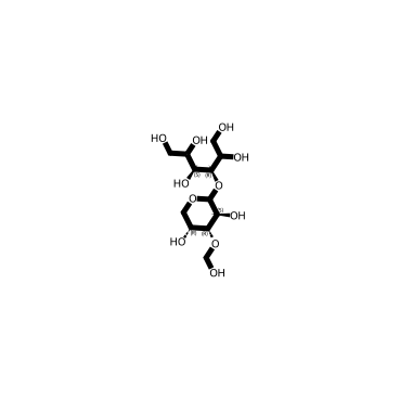 OCO[C@@H]1[C@H](O)COC(O[C@H](C(O)CO)[C@@H](O)C(O)CO)[C@H]1O